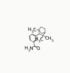 CC12CCC(C1)C(C)(C)C2c1cccc(C(N)=O)c1